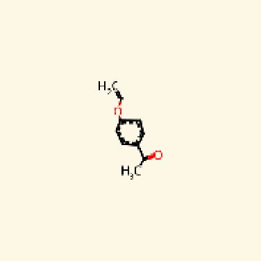 C=COc1ccc(C(C)=O)cc1